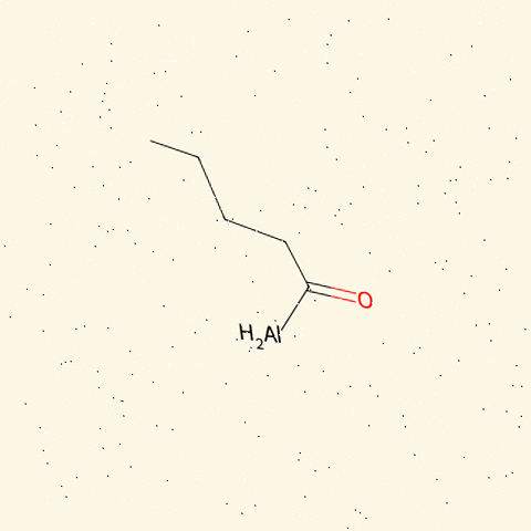 CCCC[C](=O)[AlH2]